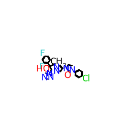 C[C@@H](n1cc(N2CCN(c3ccc(Cl)cc3)C2=O)cn1)[C@](O)(Cn1cncn1)c1ccc(F)cc1F